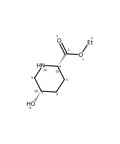 CCOC(=O)[C@@H]1CC[C@H](O)CN1